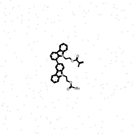 C=C(C)C(=O)OCCn1c2ccccc2c2cccc(-c3ccc4c(c3)c3ccccc3n4CCOC(=O)C(C)(C)C)c21